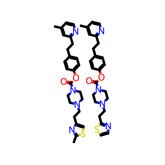 Cc1ccnc(CCc2ccc(OC(=O)N3CCN(CCc4csc(C)n4)CC3)cc2)c1.Cc1ccnc(CCc2ccc(OC(=O)N3CCN(CCc4nccs4)CC3)cc2)c1